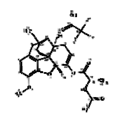 COc1ccc2c3c1O[C@H]1C(OC(=O)[C@H](C)OC(C)=O)=CC[C@]4(O)C(C2)N(C)CC[C@]314.O=C(O)C(F)(F)F